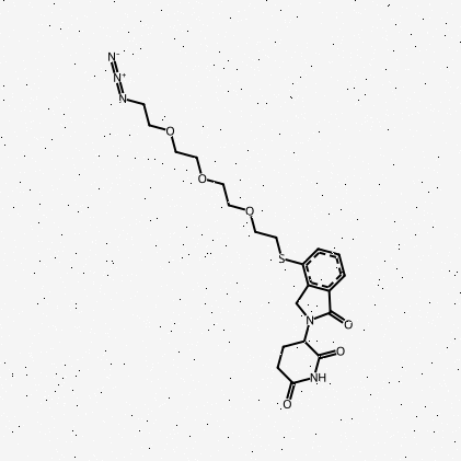 [N-]=[N+]=NCCOCCOCCOCCSc1cccc2c1CN(C1CCC(=O)NC1=O)C2=O